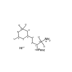 CCCCCC(CCC1CC(C)CC(C)(C)C1)C(C)(C)N.I